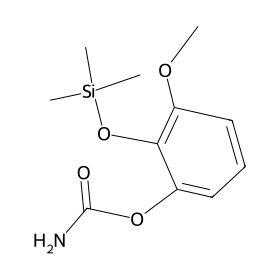 COc1cccc(OC(N)=O)c1O[Si](C)(C)C